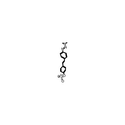 CN(C)N=Nc1ccc(C=Cc2ccc(O[SH](=O)=O)cc2)cc1